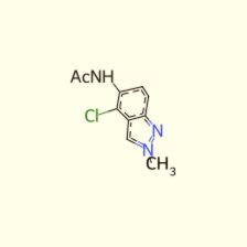 CC(=O)Nc1ccc2nn(C)cc2c1Cl